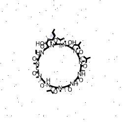 C/C=C/C[C@@H](C)[C@@H](O)[C@H]1C(=O)N[C@@H](CC)C(=O)N(C)CC(=O)N(C)[C@@H](C)C(=O)N[C@@H](C(C)C)C(=O)N(C)[C@@H](C)C(=O)N[C@@H](C)C(=O)N[C@H](C)C(=O)N(C)[C@@H](CC(C)C)C(=O)N(C)[C@H](CC(C)C)C(O)N(C)[C@@H](C(C)C)C(=O)N1C